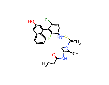 C=CC(=O)NC1CN(C(=C)S/N=C2\CC=C(Cl)C(c3cc(O)cc4ccccc34)=C2F)C1C